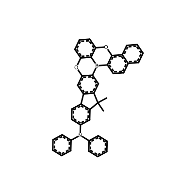 CC1(C)c2cc(N(c3ccccc3)c3ccccc3)ccc2-c2cc3c(cc21)B1c2ccc4ccccc4c2Oc2cccc(c21)O3